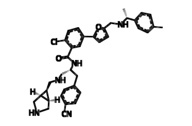 Cc1ccc([C@@H](C)NCc2ccc(-c3ccc(Cl)c(C(=O)N[C@@H](CNC[C@H]4[C@H]5CNC[C@@H]45)Cc4ccc(C#N)cc4)c3)o2)cc1